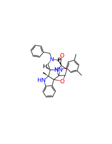 Cc1cc(C)cc(NC23C4C[C@H]5C(=O)N(Cc6ccccc6)C[C@H](N52)[C@@]2(C)Nc5ccccc5C32O4)c1